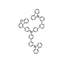 c1cc(-c2ccc(N(c3ccc(-c4cccc(-n5c6ccccc6c6ccccc65)c4)cc3)c3ccc(-c4cccc5oc6ccccc6c45)cc3)cc2)cc(-c2cccc(-n3c4ccccc4c4ccccc43)c2)c1